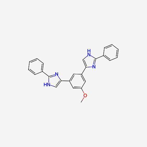 COc1cc(-c2c[nH]c(-c3ccccc3)n2)cc(-c2c[nH]c(-c3ccccc3)n2)c1